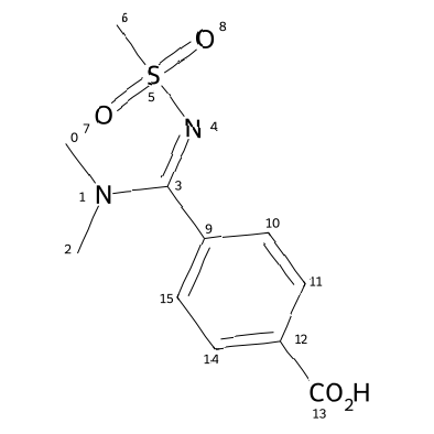 CN(C)C(=NS(C)(=O)=O)c1ccc(C(=O)O)cc1